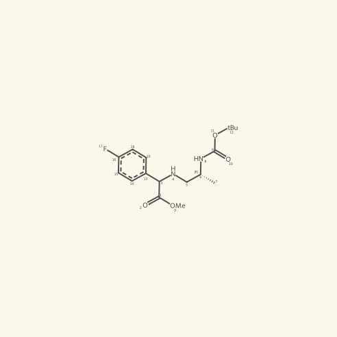 COC(=O)C(NC[C@@H](C)NC(=O)OC(C)(C)C)c1ccc(F)cc1